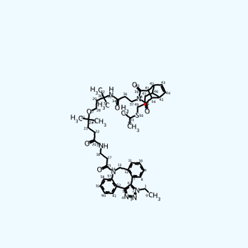 CCn1nnc2c1-c1ccccc1CN(C(=O)CCNC(=O)CCC(C)(C)OCCC(C)(C)NC(=O)CCN1C(=O)C3C4C=CC(C4CCCSC(C)C)C3C1=O)c1ccccc1-2